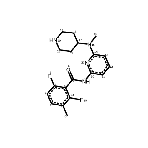 Cc1ccc(F)c(C(=O)Nc2cccc(N(C)C3CCNCC3)n2)c1F